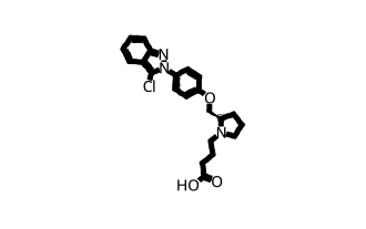 O=C(O)CCCN1CCC[C@@H]1COc1ccc(-n2nc3ccccc3c2Cl)cc1